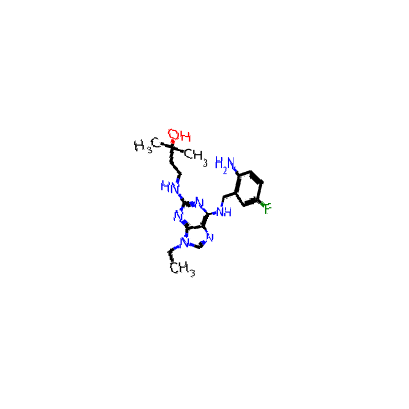 CCn1cnc2c(NCc3cc(F)ccc3N)nc(NCCC(C)(C)O)nc21